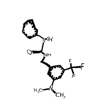 CN(C)c1cc(CNC(=O)N(S)c2cc[c]cc2)cc(C(F)(F)F)c1